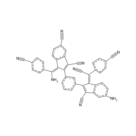 N#CC1=C(c2cccc(C3=C(C#N)c4cc(N)ccc4/C3=C(/C#N)c3ccc(C#N)cc3)c2)/C(=C(\N)c2ccc(C#N)cc2)c2ccc(C#N)cc21